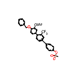 COc1cc(-c2ccc(-c3ccc(OS(C)(=O)=O)cc3)cc2C(F)(F)F)ccc1OCc1ccccc1